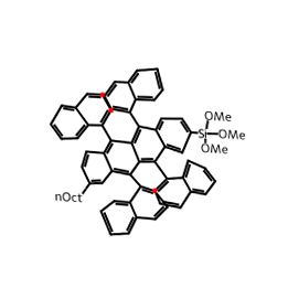 CCCCCCCCc1ccc2c(-c3cccc4ccccc34)c3c(-c4cccc5ccccc45)c4ccc([Si](OC)(OC)OC)cc4c(-c4cccc5ccccc45)c3c(-c3cccc4ccccc34)c2c1